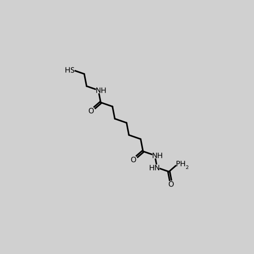 O=C(P)NNC(=O)CCCCCC(=O)NCCS